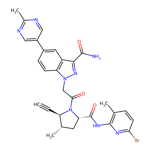 C#C[C@@H]1[C@@H](C)C[C@@H](C(=O)Nc2nc(Br)ccc2C)N1C(=O)Cn1nc(C(N)=O)c2cc(-c3cnc(C)nc3)ccc21